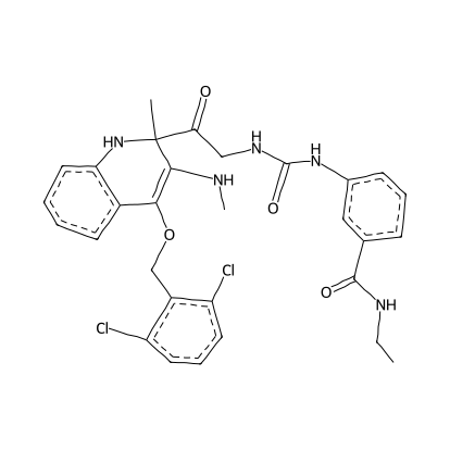 CCNC(=O)c1cccc(NC(=O)NCC(=O)C2(C)Nc3ccccc3C(OCc3c(Cl)cccc3Cl)=C2NC)c1